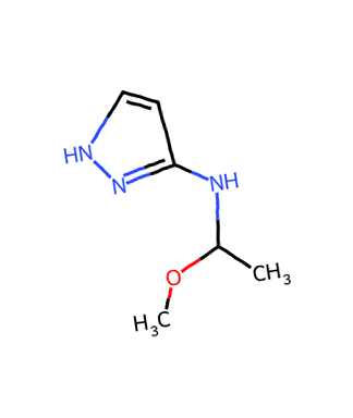 COC(C)Nc1cc[nH]n1